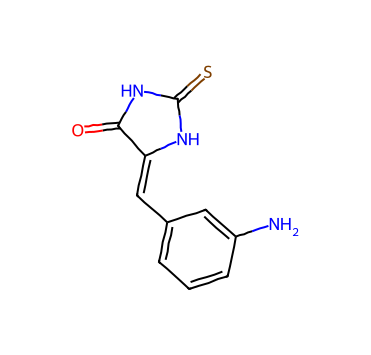 Nc1cccc(/C=C2\NC(=S)NC2=O)c1